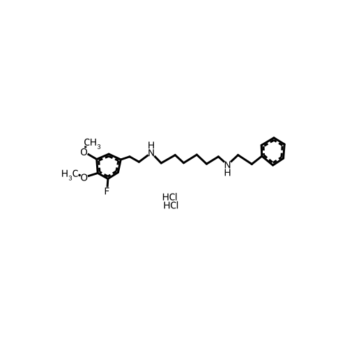 COc1cc(CCNCCCCCCNCCc2ccccc2)cc(F)c1OC.Cl.Cl